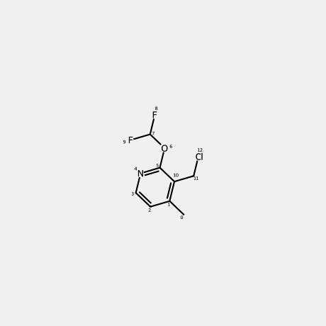 Cc1ccnc(OC(F)F)c1CCl